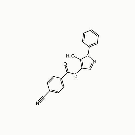 Cc1c(NC(=O)c2ccc(C#N)cc2)cnn1-c1ccccc1